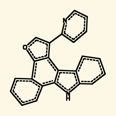 c1ccc(-c2coc3c4ccccc4c4[nH]c5ccccc5c4c23)nc1